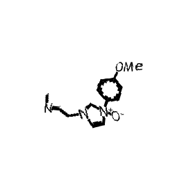 CN=CCN1C=C[N+]([O-])(c2ccc(OC)cc2)C1